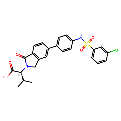 CC(C)[C@@H](C(=O)O)N1Cc2cc(-c3ccc(NS(=O)(=O)c4cccc(Cl)c4)cc3)ccc2C1=O